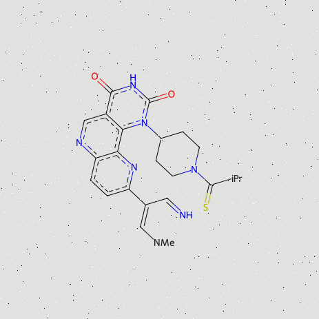 CN/C=C(\C=N)c1ccc2ncc3c(=O)[nH]c(=O)n(C4CCN(C(=S)C(C)C)CC4)c3c2n1